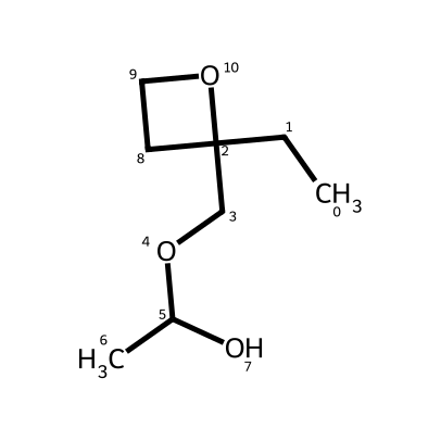 CCC1(COC(C)O)CCO1